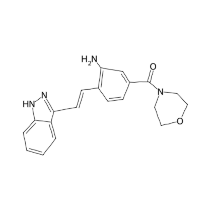 Nc1cc(C(=O)N2CCOCC2)ccc1C=Cc1n[nH]c2ccccc12